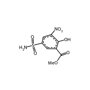 COC(=O)c1cc(S(N)(=O)=O)cc([N+](=O)[O-])c1O